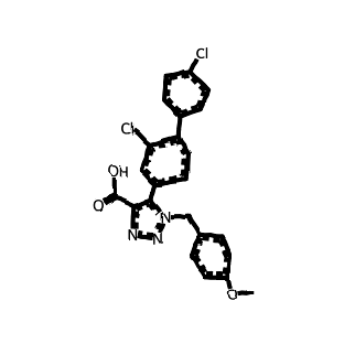 COc1ccc(Cn2nnc(C(=O)O)c2-c2ccc(-c3ccc(Cl)cc3)c(Cl)c2)cc1